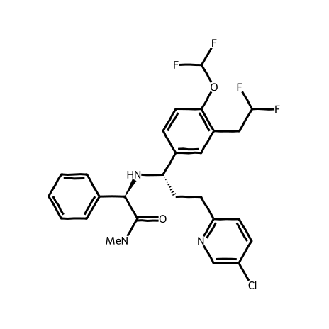 CNC(=O)[C@H](N[C@@H](CCc1ccc(Cl)cn1)c1ccc(OC(F)F)c(CC(F)F)c1)c1ccccc1